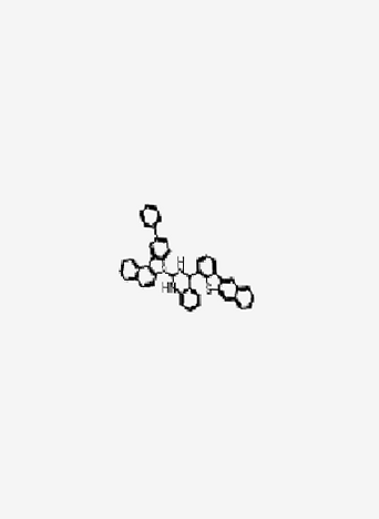 c1ccc(-c2ccc3c(c2)c2c4ccccc4ccc2n3C2Nc3ccccc3C(c3cccc4c3sc3cc5ccccc5cc34)N2)cc1